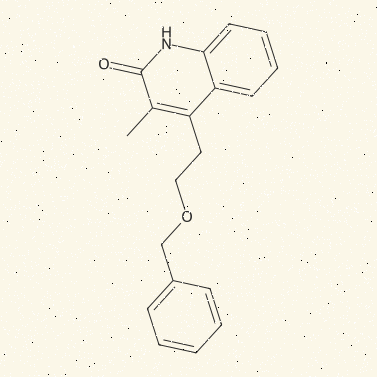 Cc1c(CCOCc2ccccc2)c2ccccc2[nH]c1=O